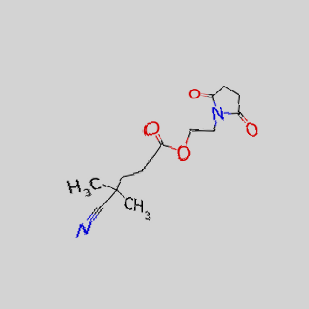 CC(C)(C#N)CCC(=O)OCCN1C(=O)CCC1=O